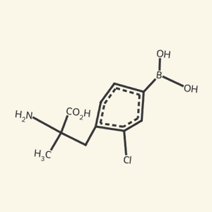 CC(N)(Cc1ccc(B(O)O)cc1Cl)C(=O)O